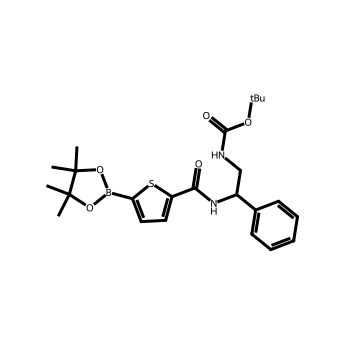 CC(C)(C)OC(=O)NCC(NC(=O)c1ccc(B2OC(C)(C)C(C)(C)O2)s1)c1ccccc1